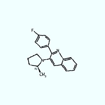 C[C@H]1CCCN1c1cc2ccccc2nc1-c1ccc(F)cc1